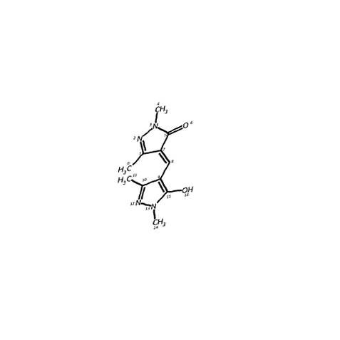 CC1=NN(C)C(=O)C1=Cc1c(C)nn(C)c1O